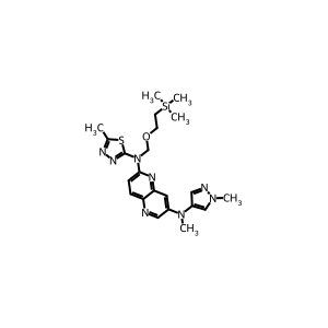 Cc1nnc(N(COCC[Si](C)(C)C)c2ccc3ncc(N(C)c4cnn(C)c4)cc3n2)s1